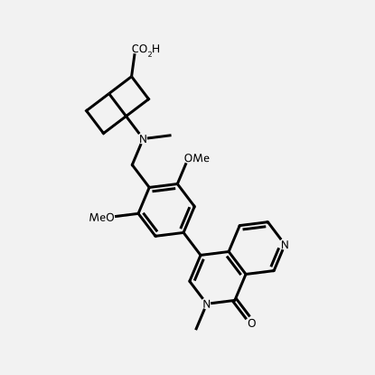 COc1cc(-c2cn(C)c(=O)c3cnccc23)cc(OC)c1CN(C)C12CCC1C(C(=O)O)C2